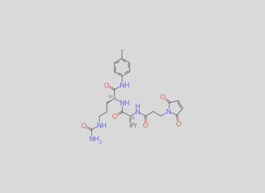 [CH2]c1ccc(NC(=O)[C@H](CCCNC(N)=O)NC(=O)[C@@H](NC(=O)CCN2C(=O)C=CC2=O)C(C)C)cc1